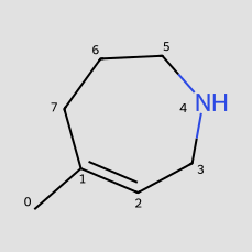 CC1=CCNCCC1